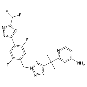 CC(C)(c1cc(N)ccn1)c1nnn(Cc2cc(F)c(-c3nnc(C(F)F)o3)cc2F)n1